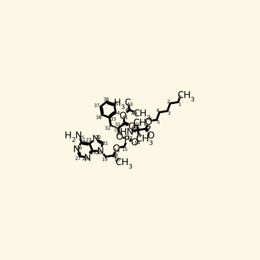 CCCCCCOC(=O)C(C)(C)NP(=O)(CO[C@H](C)Cn1cnc2c(N)ncnc21)O[C@@H](Cc1ccccc1)C(=O)OC(C)C